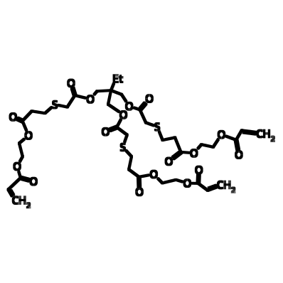 C=CC(=O)OCCOC(=O)CCSCC(=O)OCC(CC)(COC(=O)CSCCC(=O)OCCOC(=O)C=C)COC(=O)CSCCC(=O)OCCOC(=O)C=C